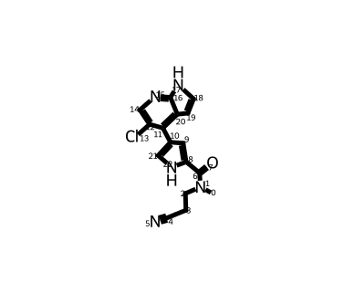 CN(CCC#N)C(=O)c1cc(-c2c(Cl)cnc3[nH]ccc23)c[nH]1